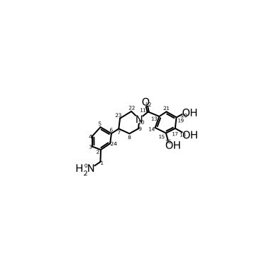 NCc1cccc(C2CCN(C(=O)c3cc(O)c(O)c(O)c3)CC2)c1